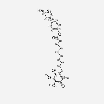 COC1=C(OC)C(=O)C(CCCCCCCCCC(=O)Oc2ccc(C3=CC(S)SS3)cc2)=C(C)C1=O